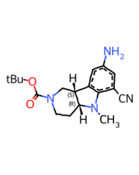 CN1c2c(C#N)cc(N)cc2[C@H]2CN(C(=O)OC(C)(C)C)CC[C@H]21